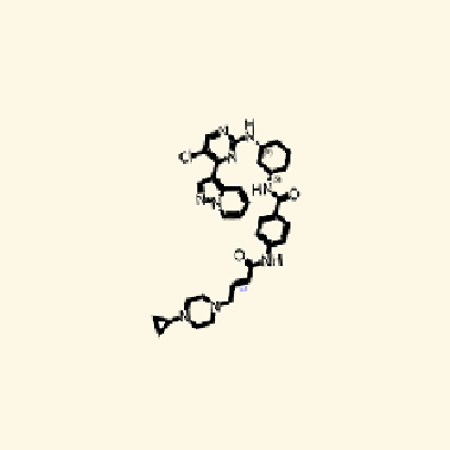 O=C(/C=C/CN1CCN(C2CC2)CC1)Nc1ccc(C(=O)N[C@H]2CCC[C@@H](Nc3ncc(Cl)c(-c4cnn5ccccc45)n3)C2)cc1